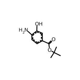 CC(C)(C)OC(=O)c1ccc(N)c(O)c1